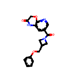 O=C1COc2ncc(C(=O)N3CC(COc4ccccc4)C3)cc2N1